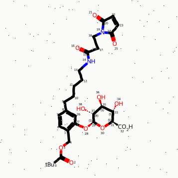 CC(C)(C)C(=O)OCc1ccc(CCCCCNC(=O)CCN2C(=O)C=CC2=O)cc1O[C@@H]1O[C@H](C(=O)O)[C@@H](O)[C@H](O)[C@H]1O